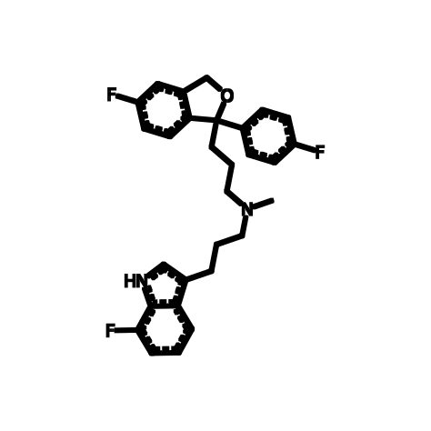 CN(CCCc1c[nH]c2c(F)cccc12)CCCC1(c2ccc(F)cc2)OCc2cc(F)ccc21